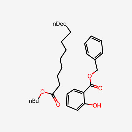 CCCCCCCCCCCCCCCCCC(=O)OCCCC.O=C(OCc1ccccc1)c1ccccc1O